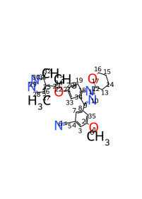 COc1cc(C#N)cc(-c2nn(C3CCCCO3)c3ccc(O[C@H](C)c4c(C)cnnc4C)cc23)c1